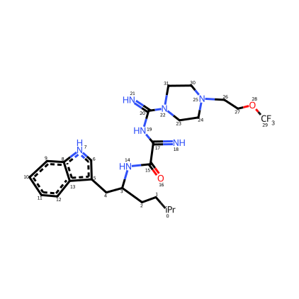 CC(C)CCC(Cc1c[nH]c2ccccc12)NC(=O)C(=N)NC(=N)N1CCN(CCOC(F)(F)F)CC1